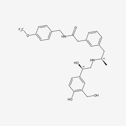 C[C@H](Cc1cccc(CC(=O)NCc2ccc(OC(F)(F)F)cc2)c1)NC[C@H](O)c1ccc(O)c(CO)c1